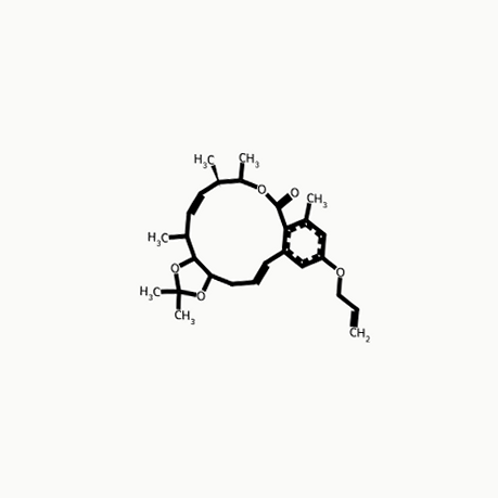 C=CCOc1cc(C)c2c(c1)/C=C/CC1OC(C)(C)OC1C(C)/C=C\[C@@H](C)C(C)OC2=O